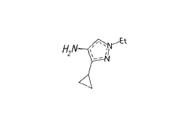 CCn1cc(N)c(C2CC2)n1